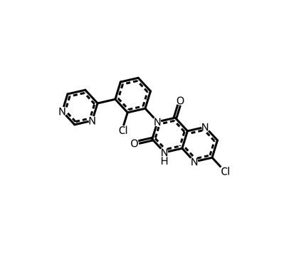 O=c1[nH]c2nc(Cl)cnc2c(=O)n1-c1cccc(-c2ccncn2)c1Cl